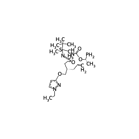 C=CC[C@H](COc1ccn(CC)n1)CS(=O)(=N[Si](C)(C)C(C)(C)C)NC(=O)O[C@@H](C)P